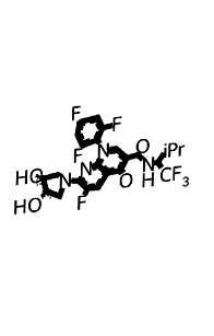 CC(C)C(NC(=O)c1cn(-c2c(F)cc(F)cc2F)c2nc(N3C[C@@H](O)[C@@H](O)C3)c(F)cc2c1=O)C(F)(F)F